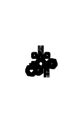 O=C1NC(=O)C(c2cn3c4c(cccc24)CCCC3)=C1c1c[nH]c2ccccc12